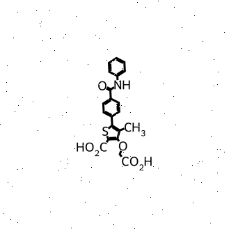 Cc1c(-c2ccc(C(=O)Nc3ccccc3)cc2)sc(C(=O)O)c1OCC(=O)O